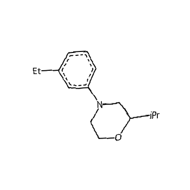 CCc1cccc(N2CCOC(C(C)C)C2)c1